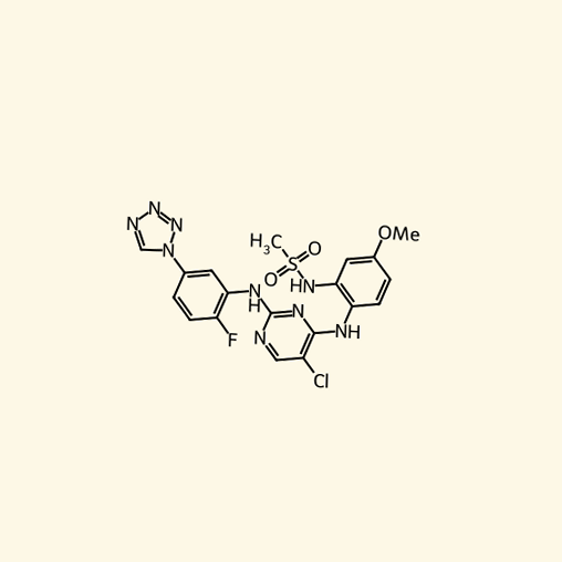 COc1ccc(Nc2nc(Nc3cc(-n4cnnn4)ccc3F)ncc2Cl)c(NS(C)(=O)=O)c1